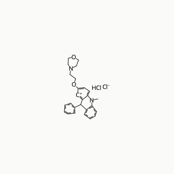 CN1C2=CC=C(OCCN3CCOCC3)[C+]=C2C(c2ccccc2)c2ccccc21.Cl.[Cl-]